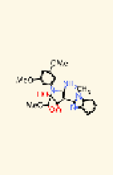 COC(=O)C1(O)C(=O)C(c2nc3ccccc3n2C)=C(N)N1c1cc(OC)cc(OC)c1